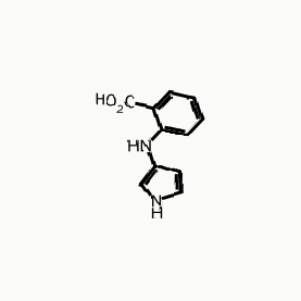 O=C(O)c1ccccc1Nc1cc[nH]c1